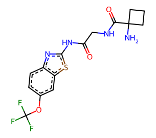 NC1(C(=O)NCC(=O)Nc2nc3ccc(OC(F)(F)F)cc3s2)CCC1